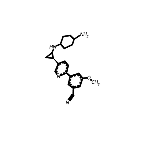 COc1cc(C#N)cc(-c2ccc([C@H]3CC3NC3CCC(N)CC3)cn2)c1